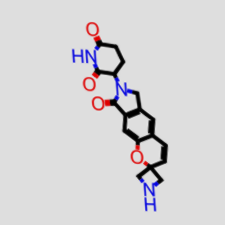 O=C1CCC(N2Cc3cc4c(cc3C2=O)OC2(C=C4)CNC2)C(=O)N1